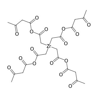 CC(=O)CC(=O)OC(=O)[CH2][Zr]([CH2]C(=O)OC(=O)CC(C)=O)([CH2]C(=O)OC(=O)CC(C)=O)[CH2]C(=O)OC(=O)CC(C)=O